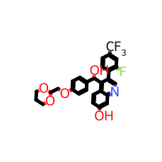 Oc1ccc2c(C(O)c3ccc(OCC4OCCCO4)cc3)c(-c3ccc(C(F)(F)F)cc3F)cnc2c1